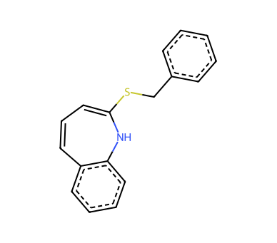 C1=Cc2ccccc2NC(SCc2ccccc2)=C1